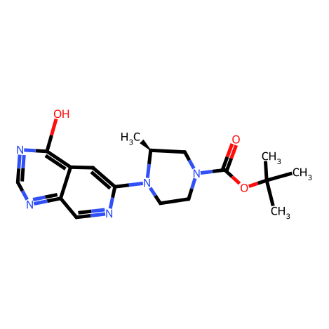 C[C@H]1CN(C(=O)OC(C)(C)C)CCN1c1cc2c(O)ncnc2cn1